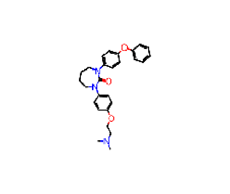 CN(C)CCOc1ccc(N2CCCCN(c3ccc(Oc4ccccc4)cc3)C2=O)cc1